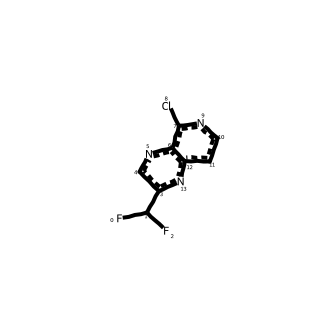 FC(F)c1cnc2c(Cl)nccc2n1